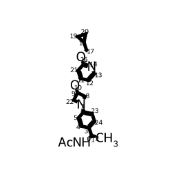 CC(=O)NC(C)c1ccc(N2CC(Oc3ccnc(OCC4CC4)c3)C2)cc1